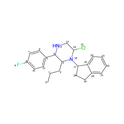 CCCC1C(c2ccc(F)cc2)NCC(Cl)N1C1CCc2ccccc21